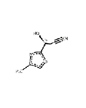 C#C[C@H](O)c1nc(C)cs1